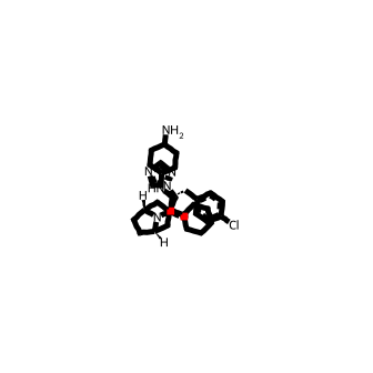 NC1CCC(N[C@H](Cc2ccc(Cl)cc2)C(=O)N2[C@@H]3CC[C@@H]2CC(Cn2cncn2)(C2CCCCC2)C3)CC1